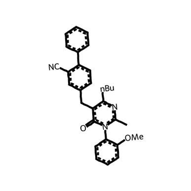 CCCCc1nc(C)n(-c2ccccc2OC)c(=O)c1Cc1ccc(-c2ccccc2)c(C#N)c1